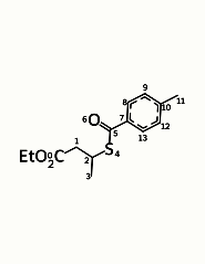 CCOC(=O)CC(C)SC(=O)c1ccc(C)cc1